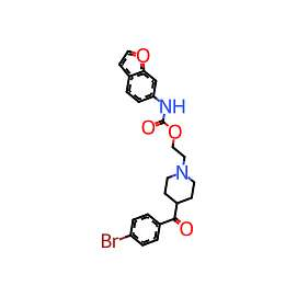 O=C(Nc1ccc2ccoc2c1)OCCN1CCC(C(=O)c2ccc(Br)cc2)CC1